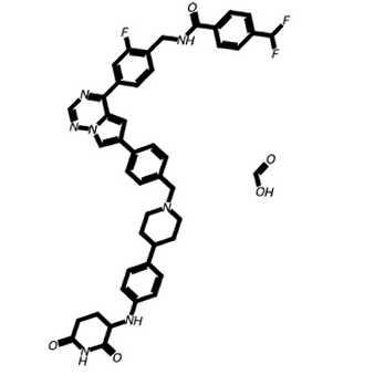 O=C1CCC(Nc2ccc(C3CCN(Cc4ccc(-c5cc6c(-c7ccc(CNC(=O)c8ccc(C(F)F)cc8)c(F)c7)ncnn6c5)cc4)CC3)cc2)C(=O)N1.O=CO